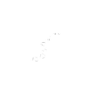 CC(=O)NCCNCc1cnc(C(=O)N2CCc3c(-c4ccccc4)cccc32)s1